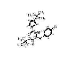 CC(C)(C)OC(=O)[C@H](Cc1ccc(Br)cc1)NC(=O)c1ccc(C(C)(C)C)s1